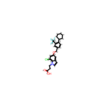 O=C(O)CCn1ccc2cc(OCc3ccc(C4CCCCC4)c(C(F)(F)F)c3)cc(Cl)c21